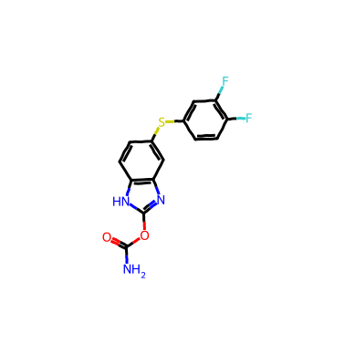 NC(=O)Oc1nc2cc(Sc3ccc(F)c(F)c3)ccc2[nH]1